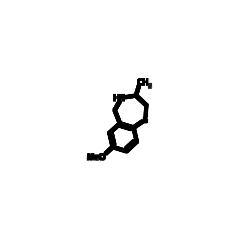 COc1ccc2c(c1)CNC(C)CS2